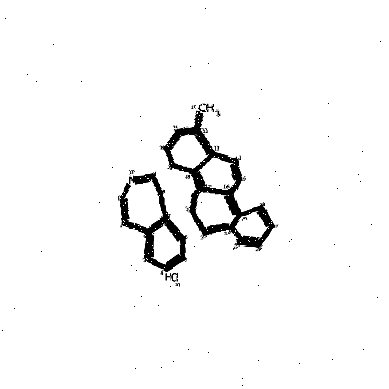 C1=Cc2ccccc2CC=N1.CC1=c2ccc3c(c2CCC1)CC=c1ccccc1=3.Cl